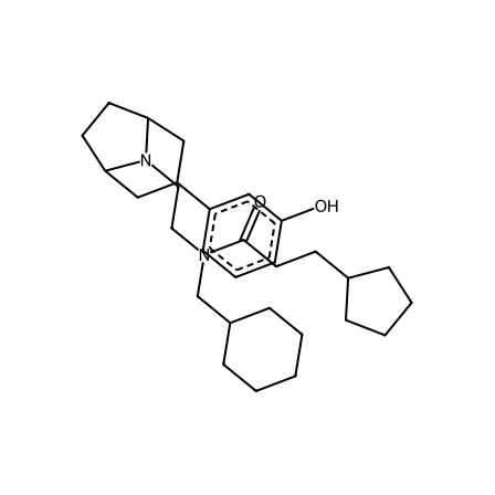 O=C(CCC1CCCC1)N(CCN1C2CCC1CC(c1cccc(O)c1)C2)CC1CCCCC1